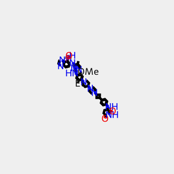 CCc1cc(Nc2ncc(C)c(Nc3ccc4nccnc4c3P(C)(C)=O)n2)c(OC)cc1N1CCC(N2CCN(C3CC(c4ccc(NC5CCC(=O)NC5=O)cc4)C3)CC2)CC1